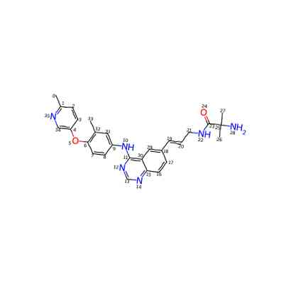 Cc1ccc(Oc2ccc(Nc3ncnc4ccc(C=CCNC(=O)C(C)(C)N)cc34)cc2C)cn1